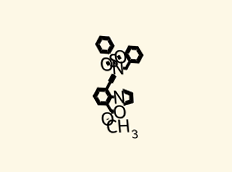 COC(=O)c1cccc(C#CN(Cc2ccccc2)S(=O)(=O)c2ccccc2)c1-n1cccc1